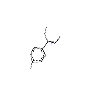 C/C=C(\CC)c1ccc(C)cc1